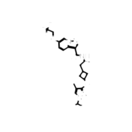 Cc1cn(C(F)F)nc1OC1CC(C[C@H](C)NC(=O)c2cnn3cc(OCC(F)(F)F)ccc23)C1